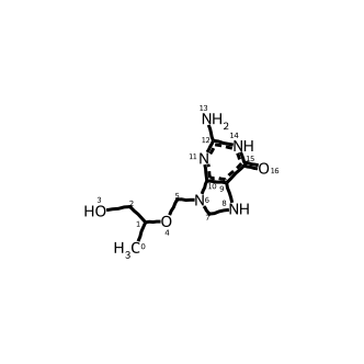 CC(CO)OCN1CNc2c1nc(N)[nH]c2=O